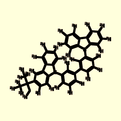 [2H]CC(c1c([2H])c([2H])c2c(c1[2H])c1c([2H])c([2H])c([2H])c([2H])c1n2-c1c([2H])c([2H])c([2H])c(-c2c([2H])c([2H])c([2H])c(-n3c4c([2H])c([2H])c([2H])c([2H])c4c4c([2H])c([2H])c([2H])c([2H])c43)c2[2H])c1[2H])(C([2H])([2H])[2H])C([2H])([2H])[2H]